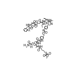 C=C[C@H](NC(=O)[C@H](C(C)C)N(C)CCc1ccc(N(C)C(=O)OCc2ccc(NC(=O)[C@H](CCCNC(N)=O)NC(=O)[C@H](C)NC(=O)CCCCCN3C(=O)CC(C)C3=O)cc2)cc1)C(=O)N(C)[C@@H]([C@@H](C)CC)[C@@H](CC(=O)N1CCC[C@H]1[C@H](OC)[C@@H](C)C(=O)N[C@@H](Cc1ccccc1)C(=O)OC)OC